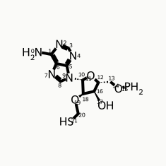 Nc1ncnc2c1ncn2[C@@H]1O[C@H](COP)[C@@H](O)[C@H]1OCS